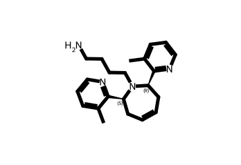 Cc1cccnc1[C@H]1CC=CC[C@@H](c2ncccc2C)N1CCCCN